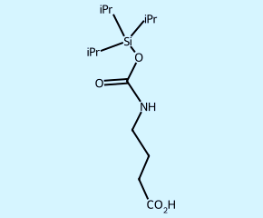 CC(C)[Si](OC(=O)NCCCC(=O)O)(C(C)C)C(C)C